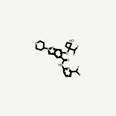 Cl.O=C(Nc1cccc(C(F)F)n1)c1cc2cn(C3CCOCC3)nc2cc1OC1(C(F)F)CCC1